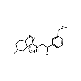 CC1CCC(C(C)C)[C@@](O)(C(=O)NCC(O)c2cccc(CO)c2)C1